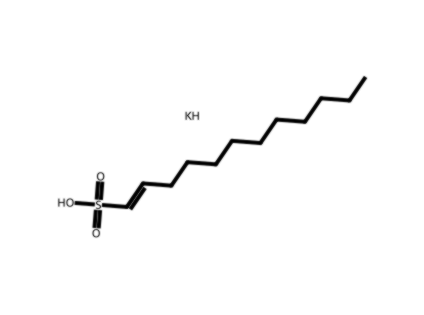 CCCCCCCCCCC=CS(=O)(=O)O.[KH]